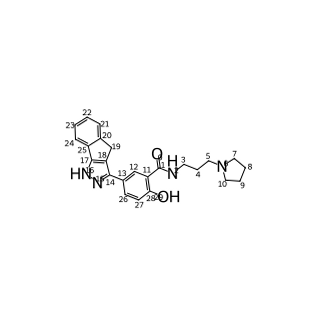 O=C(NCCCN1CCCC1)c1cc(-c2n[nH]c3c2Cc2ccccc2-3)ccc1O